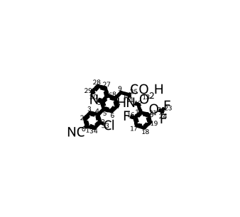 N#Cc1ccc(-c2ccc(C[C@H](NC(=O)c3c(F)cccc3OC(F)F)C(=O)O)c3cccnc23)c(Cl)c1